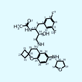 CC(=O)N[C@@H](Cc1cc(F)cc(F)c1)[C@@H](O)CN[C@H]1CC2(CCC2)Oc2ccc(N[C@@H]3CCOC3)cc21